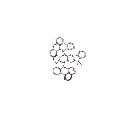 CC1(C)c2ccccc2-c2cc3c(N(c4ccccc4-c4ccccc4)c4cccc5ccccc45)c4ccccc4c(N(c4ccccc4-c4ccccc4)c4cccc5ccccc45)c3cc21